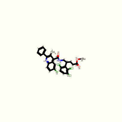 Cc1c(-c2ccccc2)nc2ccc(Br)cc2c1C(=O)NCC(CCC(=O)OC(C)(C)C)c1c(Cl)ccc(Cl)c1Cl